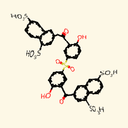 O=C(c1cc(S(=O)(=O)O)c2ccc(S(=O)(=O)O)cc2c1)c1cc(S(=O)(=O)c2ccc(O)c(C(=O)c3cc(S(=O)(=O)O)c4ccc(S(=O)(=O)O)cc4c3)c2)ccc1O